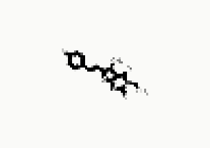 CCn1c(=O)[nH]c2sc(C=Cc3ccc(F)cc3)c(C)c2c1=O